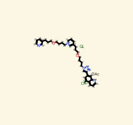 CC(=O)Oc1c(-c2cn(CCCCOCCCc3ccc[n+](CCCCOCCCc4cccnc4)c3)nn2)cc(Cl)c2cccnc12.[Cl-]